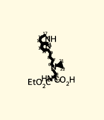 CCOC(=O)N[C@@H](CCN(CCCCc1ccc2c(n1)NCCC2)C1CC1)C(=O)O